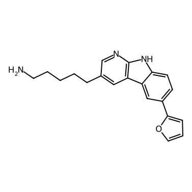 NCCCCCc1cnc2[nH]c3ccc(-c4ccco4)cc3c2c1